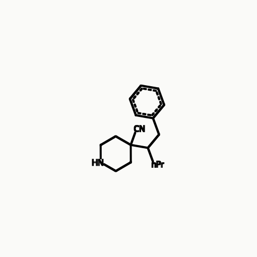 CCCC(Cc1ccccc1)C1(C#N)CCNCC1